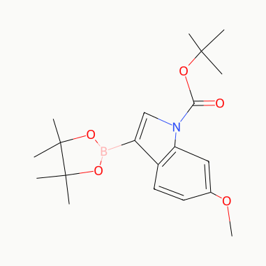 COc1ccc2c(B3OC(C)(C)C(C)(C)O3)cn(C(=O)OC(C)(C)C)c2c1